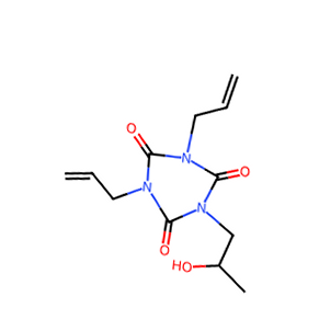 C=CCn1c(=O)n(CC=C)c(=O)n(CC(C)O)c1=O